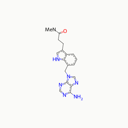 CNC(=O)CCc1c[nH]c2c(Cn3cnc4c(N)ncnc43)cccc12